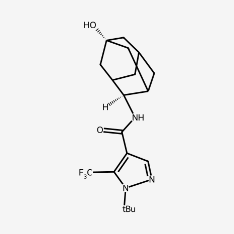 CC(C)(C)n1ncc(C(=O)N[C@H]2C3CC4CC2C[C@](O)(C4)C3)c1C(F)(F)F